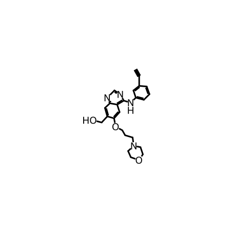 C#Cc1cccc(Nc2ncnc3cc(CO)c(OCCCN4CCOCC4)cc23)c1